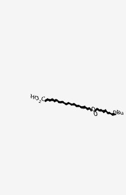 CCCC/C=C\CCCCCCCC(=O)OCCCCCCCCCCCCCCCCCCCC(=O)O